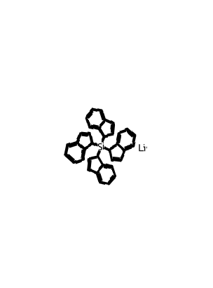 C1=CC([Si](C2C=Cc3ccccc32)(C2C=Cc3ccccc32)C2C=Cc3ccccc32)c2ccccc21.[Li]